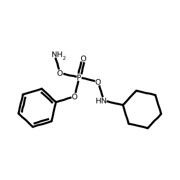 NOP(=O)(ONC1CCCCC1)Oc1ccccc1